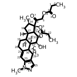 CCC(=O)OCC(=O)[C@@]1(OC(=O)CC)[C@H](C)C[C@H]2[C@@H]3CCC4=Cc5c(cnn5C)C[C@]4(C)[C@@]3(F)[C@@H](O)C[C@@]21C